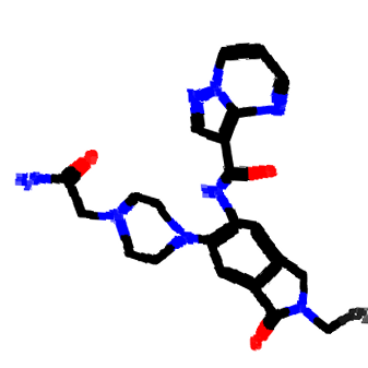 NC(=O)CN1CCN(c2cc3c(cc2NC(=O)c2cnn4cccnc24)CN(CC(F)(F)F)C3=O)CC1